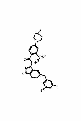 CN1CCN(c2ccc(C(=O)Nc3n[nH]c4ccc(Cc5cc(F)cc(F)c5)cc34)c([N+](=O)[O-])c2)CC1